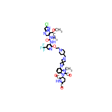 COC(C)c1c(NC(=O)Nc2cc(C(F)(F)F)cnc2OCCN2CCC(CN3CC4(C3)CN(c3cccc5c3N(C)C(=C=O)N5C3CCC(=C=O)NC3=C=O)C4)CC2)cnc2cc(Cl)nn12